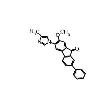 COc1cc2c(cc1-n1cnc(C)c1)-c1ccc(-c3ccccc3)cc1C2=O